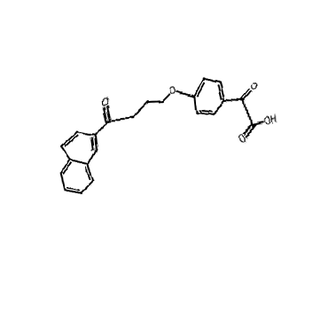 O=C(O)C(=O)c1ccc(OCCCC(=O)c2ccc3ccccc3c2)cc1